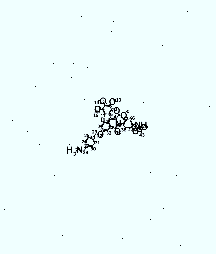 COC(=O)c1c(-c2cc(OC)c(OC)c(OC)c2)c2ccc(OCc3ccc(CN)cc3)cc2c(=O)n1-c1ccc(NS(C)(=O)=O)cc1